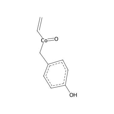 C=[CH][Co](=[O])[CH2]c1ccc(O)cc1